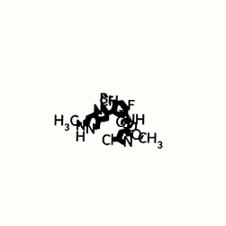 CNc1cc2nc(C)c(-c3cc(NS(=O)(=O)c4cc(Cl)cnc4OC)c(F)cc3Br)cc2cn1